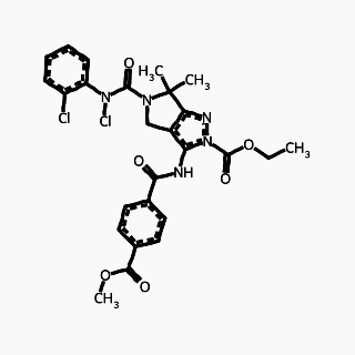 CCOC(=O)n1nc2c(c1NC(=O)c1ccc(C(=O)OC)cc1)CN(C(=O)N(Cl)c1ccccc1Cl)C2(C)C